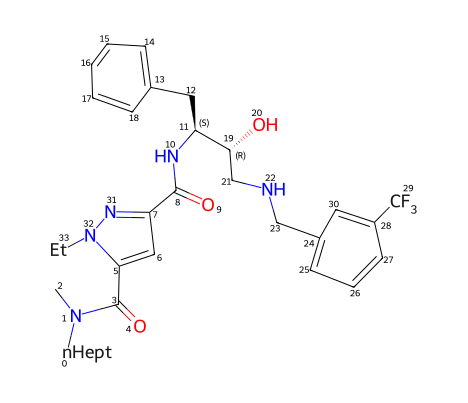 CCCCCCCN(C)C(=O)c1cc(C(=O)N[C@@H](Cc2ccccc2)[C@H](O)CNCc2cccc(C(F)(F)F)c2)nn1CC